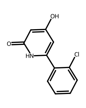 O=c1cc(O)cc(-c2ccccc2Cl)[nH]1